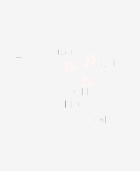 Cc1cccc(C(C)OCC(C)C)c1OC(=O)Oc1c(C)cccc1C(C)OCC(C)C